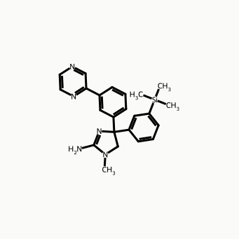 CN1CC(c2cccc(-c3cnccn3)c2)(c2cccc([Si](C)(C)C)c2)N=C1N